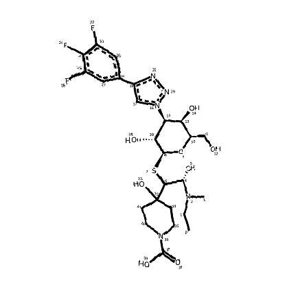 CCN(C)[C@@H](O)C(S[C@@H]1O[C@H](CO)[C@H](O)[C@H](n2cc(-c3cc(F)c(F)c(F)c3)nn2)[C@H]1O)C1(O)CCN(C(=O)O)CC1